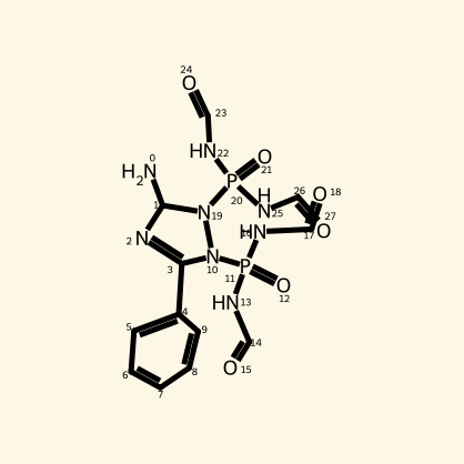 NC1N=C(c2ccccc2)N(P(=O)(NC=O)NC=O)N1P(=O)(NC=O)NC=O